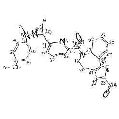 COc1ccc(N(C)N2C=C2c2cccc(C(=O)N3CCc4cc(C=O)sc4-c4ccccc43)n2)cc1